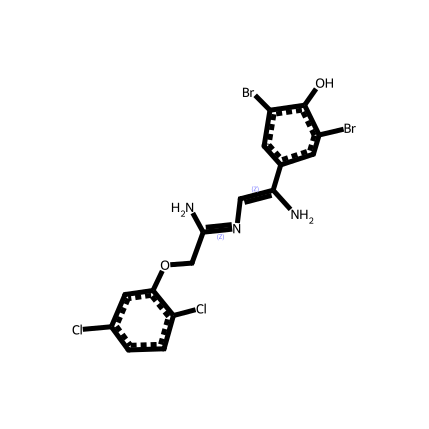 N/C(=C\N=C(/N)COc1cc(Cl)ccc1Cl)c1cc(Br)c(O)c(Br)c1